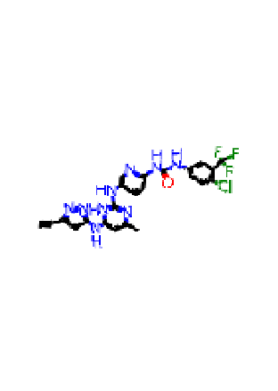 C#Cc1cc(Nc2cc(C)nc(Nc3ccc(NC(=O)Nc4ccc(Cl)c(C(F)(F)F)c4)nc3)n2)[nH]n1